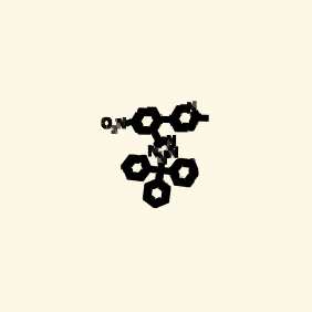 Cc1ccc(-c2ccc([N+](=O)[O-])cc2-c2nnn(C(c3ccccc3)(c3ccccc3)c3ccccc3)n2)cn1